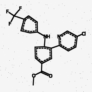 COC(=O)c1ccc(Nc2ccc(C(F)(F)F)cc2)c(-c2ccc(Cl)cn2)c1